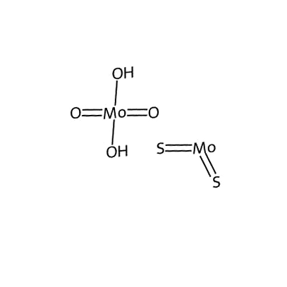 [O]=[Mo](=[O])([OH])[OH].[S]=[Mo]=[S]